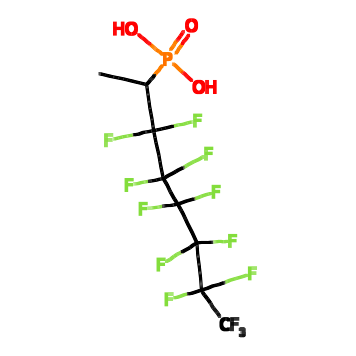 CC(C(F)(F)C(F)(F)C(F)(F)C(F)(F)C(F)(F)C(F)(F)F)P(=O)(O)O